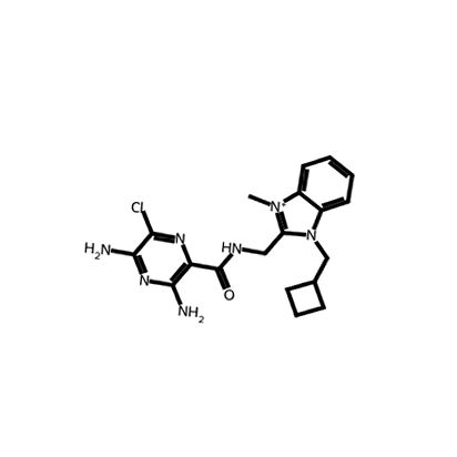 C[n+]1c(CNC(=O)c2nc(Cl)c(N)nc2N)n(CC2CCC2)c2ccccc21